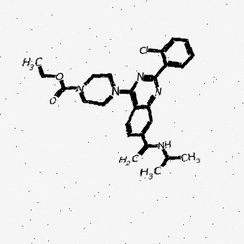 C=C(NC(C)C)c1ccc2c(N3CCN(C(=O)OCC)CC3)nc(-c3ccccc3Cl)nc2c1